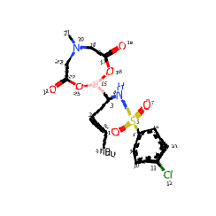 CCCCC=CC(NS(=O)(=O)c1ccc(Cl)cc1)B1OC(=O)CN(C)CC(=O)O1